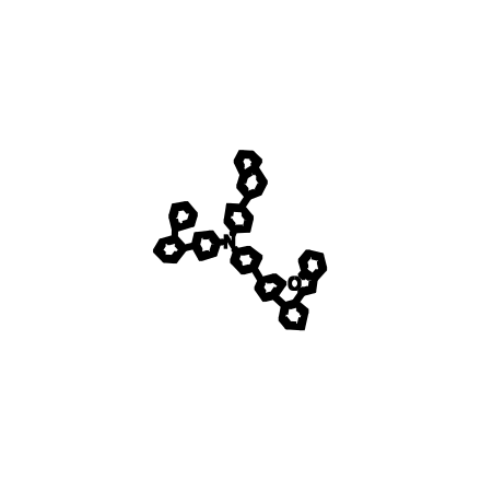 c1ccc(-c2ccccc2-c2ccc(N(c3ccc(-c4ccc(-c5ccccc5-c5cc6ccccc6o5)cc4)cc3)c3ccc(-c4ccc5ccccc5c4)cc3)cc2)cc1